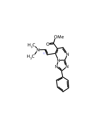 COC(=O)c1cnc2nc(-c3ccccc3)nn2c1/C=C/N(C)C